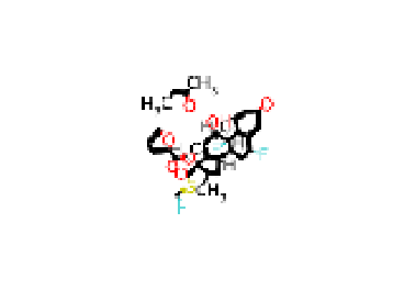 CCC(C)=O.C[C@@H]1C[C@H]2[C@@H]3C[C@H](F)C4=CC(=O)C=C[C@]4(C)[C@@]3(F)[C@@H](O)C[C@]2(C)[C@@]1(OC(=O)c1ccco1)C(=O)SCF